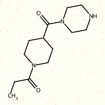 CCC(=O)N1CCC(C(=O)N2CCNCC2)CC1